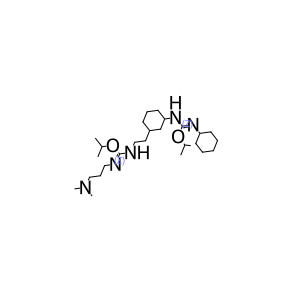 CC(C)O/C(=N\CCCN(C)C)NCCC1CCCC(N/C(=N/C2CCCCC2)OC(C)C)C1